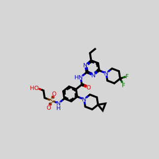 CCc1cc(N2CCC(F)(F)CC2)nc(NC(=O)c2ccc(NS(=O)(=O)CCO)cc2N2CCC3(CC2)CC3)n1